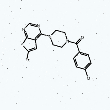 CCc1cc2c(N3CCN(C(=O)c4ccc(Cl)cc4)CC3)ncnc2s1